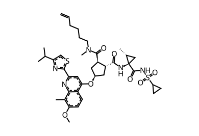 C=CCCCCN(C)C(=O)[C@@H]1C[C@H](Oc2cc(-c3nc(C(C)C)cs3)nc3c(C)c(OC)ccc23)C[C@H]1C(=O)N[C@]1(C(=O)NS(=O)(=O)C2CC2)C[C@H]1C